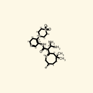 CC1(C)CCC(F)C/N=C(/C(C(=O)NC2=C(N3CCS(=O)(=O)CC3)CCN=C2)C(N)N)C1